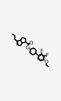 CCCC1=CCC2C(C(=O)OC3CCC(c4ccc(OCC)c(F)c4F)CC3)CCC12